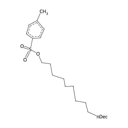 CCCCCCCCCCCCCCCCCCCOS(=O)(=O)c1ccc(C)cc1